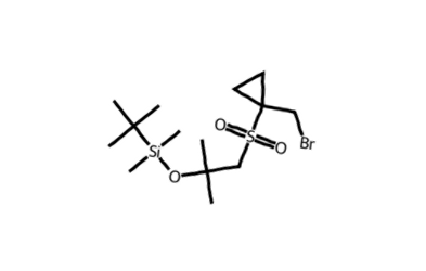 CC(C)(CS(=O)(=O)C1(CBr)CC1)O[Si](C)(C)C(C)(C)C